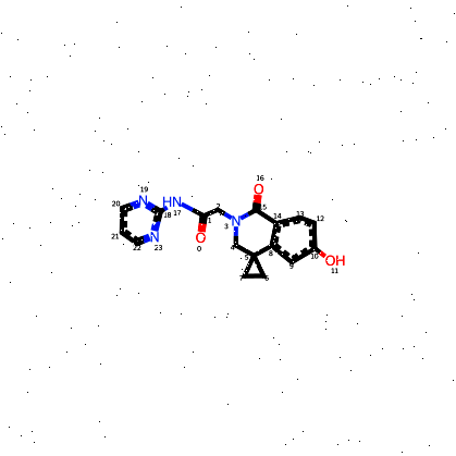 O=C(CN1CC2(CC2)c2cc(O)ccc2C1=O)Nc1ncccn1